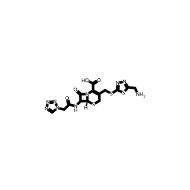 NCc1nnc(SCC2=C(C(=O)O)N3C(=O)C(NC(=O)Cn4cnnn4)[C@H]3SC2)s1